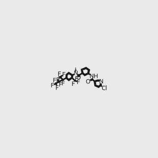 O=C(Nc1cccc(C(=O)N(I)c2ccc(C(F)(C(F)(F)F)C(F)(F)C(F)(F)F)cc2C(F)(F)F)c1)c1ccc(Cl)nc1